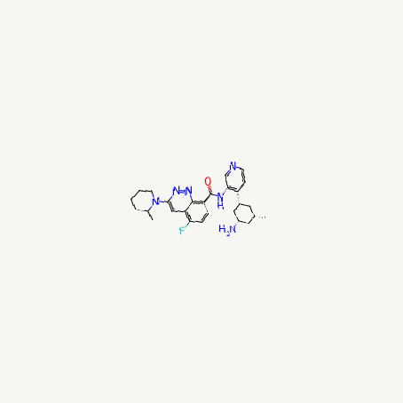 CC1CCCCN1c1cc2c(F)ccc(C(=O)Nc3cnccc3[C@@H]3C[C@H](C)C[C@H](N)C3)c2nn1